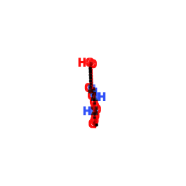 CC(C)C(=O)COCCOCCNC(=O)COCCOCCNC(=O)CN1CCN(C(=O)CCCCCCCCCCCCCCC(=O)O)CC1